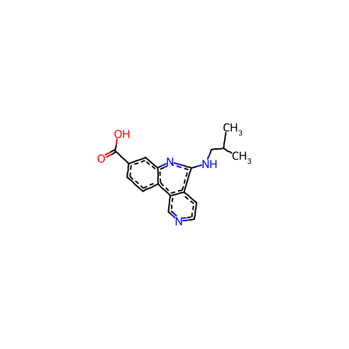 CC(C)CNc1nc2cc(C(=O)O)ccc2c2cnccc12